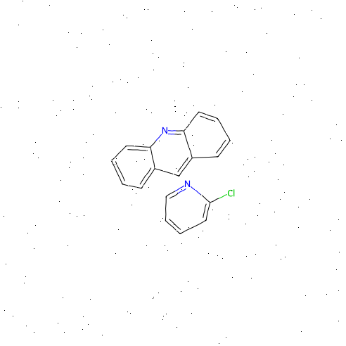 Clc1ccccn1.c1ccc2nc3ccccc3cc2c1